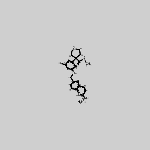 COC(=O)C1(c2cc(F)cc(OCc3ccc4nc(NN)ccc4c3)c2)CCOCC1